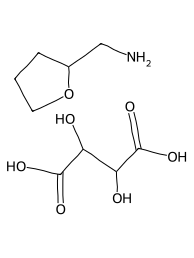 NCC1CCCO1.O=C(O)C(O)C(O)C(=O)O